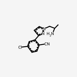 CC(N)Cn1ccc(-c2cc(Cl)ccc2C#N)n1